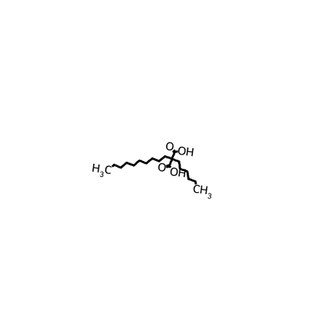 CCCCCCCCCCC(CCCCCC)(C(=O)O)C(=O)O